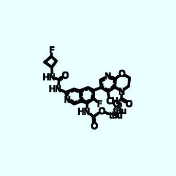 Cc1c(-c2cc3cc(NC(=O)NC4CC(F)C4)ncc3c(NC(=O)OC(C)(C)C)c2F)cnc2c1N(C(=O)OC(C)(C)C)CCO2